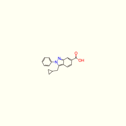 O=C(O)c1ccc2c(CC3CC3)n(-c3ccccc3)nc2c1